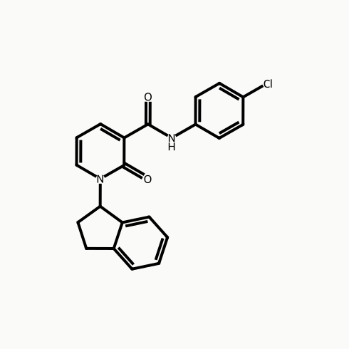 O=C(Nc1ccc(Cl)cc1)c1cccn(C2CCc3ccccc32)c1=O